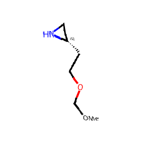 COCOCC[C@H]1CN1